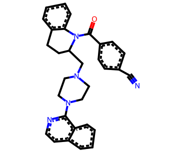 N#Cc1ccc(C(=O)N2c3ccccc3CCC2CN2CCN(c3nccc4ccccc34)CC2)cc1